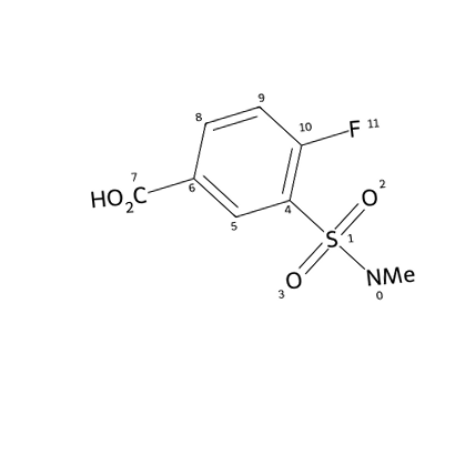 CNS(=O)(=O)c1cc(C(=O)O)ccc1F